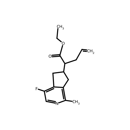 C=CCC(C(=O)OCC)C1Cc2c(F)cnc(C)c2C1